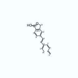 C=C\C=C/C(/C=C/c1ccc2c(c1)COB2O)=C\C